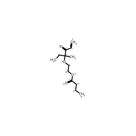 C=CC(=O)C(C)(CC)OCCOC(=O)CCC